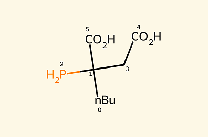 CCCCC(P)(CC(=O)O)C(=O)O